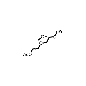 CCCOCCOCCOC(C)=O.CO